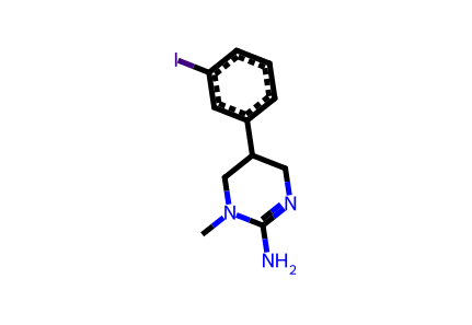 CN1CC(c2cccc(I)c2)CN=C1N